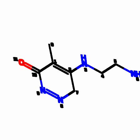 CC1=C(NCCN)CN=NC1=O